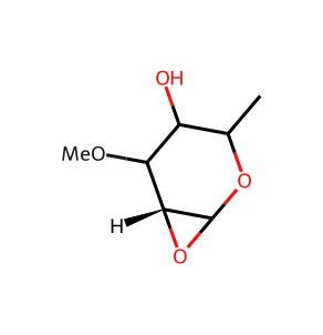 COC1C(O)C(C)OC2O[C@@H]21